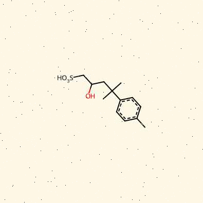 Cc1ccc(C(C)(C)CC(O)CS(=O)(=O)O)cc1